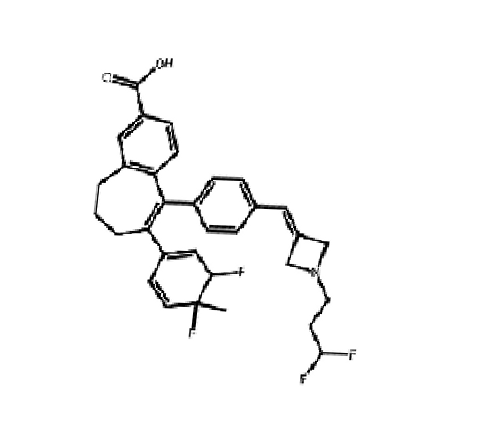 CC1(F)C=CC(C2=C(c3ccc(C=C4CN(CCC(F)F)C4)cc3)c3ccc(C(=O)O)cc3CCC2)=CC1F